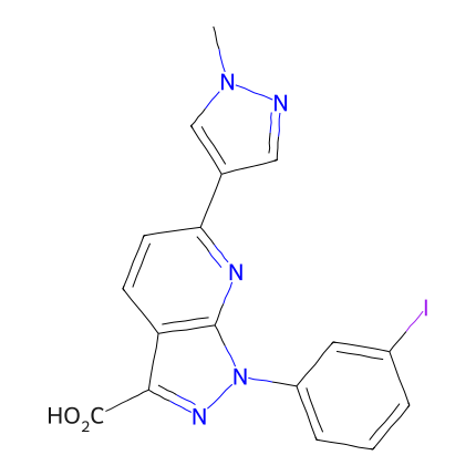 Cn1cc(-c2ccc3c(C(=O)O)nn(-c4cccc(I)c4)c3n2)cn1